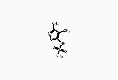 Cc1noc(NS(C)(=O)=O)c1C